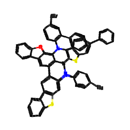 CC(C)(C)c1ccc(N2B3c4sc5cc(-c6ccccc6)ccc5c4N(c4ccc(C(C)(C)C)cc4-c4ccccc4)c4c3c(cc3c4oc4ccccc43)-c3cc4c(cc32)sc2ccccc24)cc1